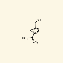 C=C(C(=O)O)c1ccc(CO)o1